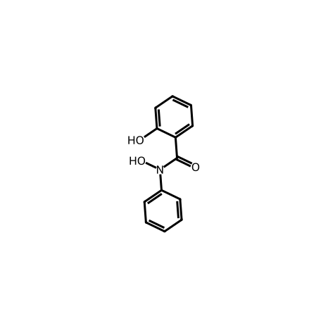 O=C(c1ccccc1O)N(O)c1ccccc1